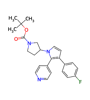 CC(C)(C)OC(=O)N1CCC(n2ccc(-c3ccc(F)cc3)c2-c2ccncc2)C1